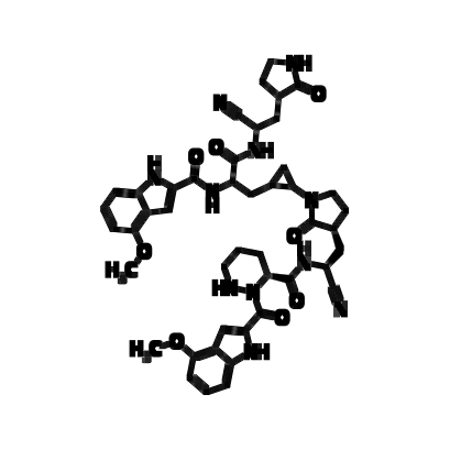 COc1cccc2[nH]c(C(=O)NC(CC3CC3N3CC[C@@H](C[C@@H](C#N)NC(=O)[C@@H]4CCCNN4C(=O)c4cc5c(OC)cccc5[nH]4)C3=O)C(=O)NC(C#N)CC3CCNC3=O)cc12